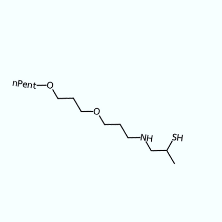 CCCCCOCCCOCCCNCC(C)S